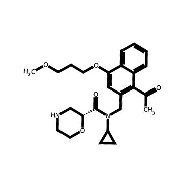 COCCCOc1cc(CN(C(=O)[C@H]2CNCCO2)C2CC2)c(C(C)=O)c2ccccc12